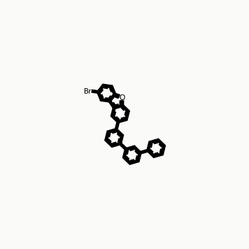 Brc1ccc2oc3ccc(-c4cccc(-c5cccc(-c6ccccc6)c5)c4)cc3c2c1